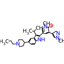 CCCN1CCC(c2ccc3[nH]c(-c4cc(-c5cnn(C)c5)c(=O)n(C)c4)c(C(C)C)c3c2)CC1